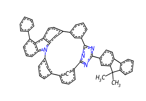 CC1(C)c2ccccc2-c2ccc(-c3nc4nc(n3)-c3cccc(c3)-c3ccc5c6c(-c7ccccc7)cccc6n(c5c3)-c3cccc(c3)-c3cccc-4c3)cc21